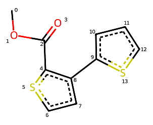 COC(=O)c1sccc1-c1cccs1